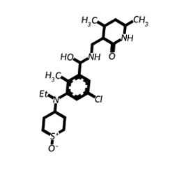 CCN(c1cc(Cl)cc(C(O)NCC2C(=O)NC(C)CC2C)c1C)C1CC[S+]([O-])CC1